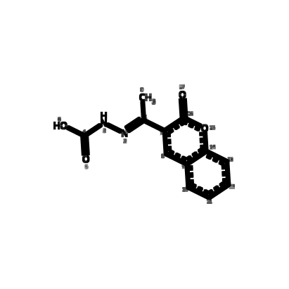 CC(=NNC(=O)O)c1cc2ccccc2oc1=O